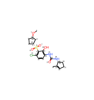 CO[C@@H]1CC[C@@H](S(=O)(=O)c2c(Cl)ccc(NC(=O)N[C@@H]3CCC=C3C)c2O)C1